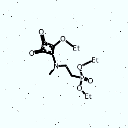 CCOc1c(N(C)CCP(=O)(OCC)OCC)c(=O)c1=O